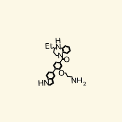 CCC1CCN(C(=O)c2ccc(-c3ccc4[nH]ccc4c3)c(OCCCN)c2)c2ccccc2N1